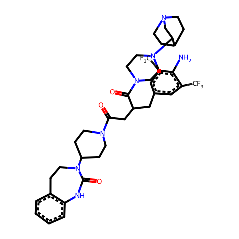 Nc1c(C(F)(F)F)cc(CC(CC(=O)N2CCC(N3CCc4ccccc4NC3=O)CC2)C(=O)N2CCN(C3CN4CCC3CC4)CC2)cc1C(F)(F)F